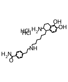 Cl.Cl.NC(=O)c1ccc(CCNCCCCCCC2c3ccc(O)c(O)c3CCC2N)cc1